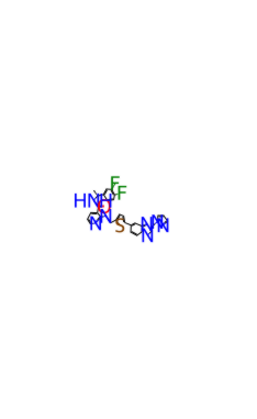 C[C@H](NC(=O)c1cccnc1NCc1ccc(-c2ccc3ncc(-n4cccn4)nc3c2)s1)c1ccc(F)c(F)c1